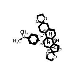 CN(C)c1ccc([C@H]2C[C@@]3(C)[C@@H](CCC34OCCO4)[C@@H]3CC=C4CC5(CC[C@@H]4[C@H]32)OCCO5)cc1